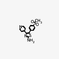 CS(=O)(=O)c1ccc(-c2sc(N)nc2-c2ccncc2)cc1